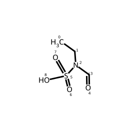 CCN([C]=O)S(=O)(=O)O